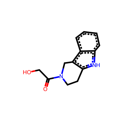 O=C(CO)N1CCc2[nH]c3ccccc3c2C1